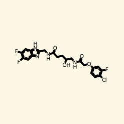 O=C(CCC(O)CNC(=O)COc1ccc(Cl)c(F)c1)NCc1nc2cc(F)c(F)cc2[nH]1